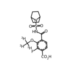 [2H]C([2H])([2H])Oc1c(C(=O)NS(=O)(=O)N2C3CCC2CC3)ccc(C(=O)O)c1F